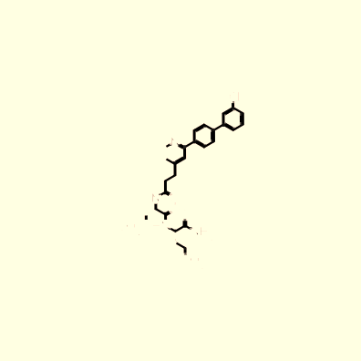 C/N=C(\C=C(/C)CCC(=O)N[C@@H](CC(=O)O)C(=O)N[C@@H](CCC(=O)O)C(N)=O)c1ccc(-c2cccc(Cl)c2)cc1